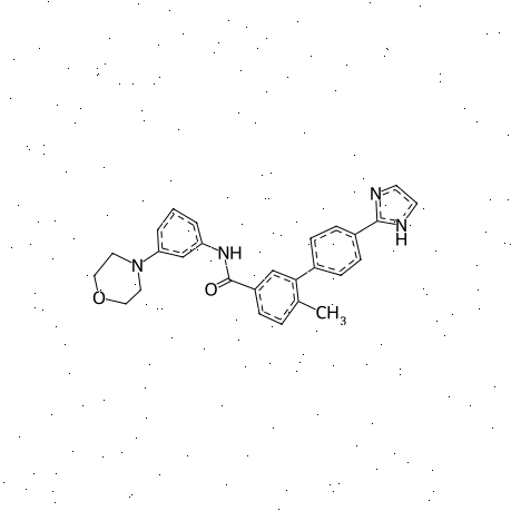 Cc1ccc(C(=O)Nc2cccc(N3CCOCC3)c2)cc1-c1ccc(-c2ncc[nH]2)cc1